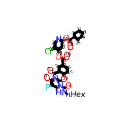 CCCCCCNC(=O)n1cc(F)c(=O)n(C(=O)c2cccc(C(=O)Oc3cc(OC(=O)c4ccccc4)ncc3Cl)c2)c1=O